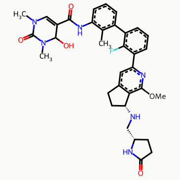 COc1nc(-c2cccc(-c3cccc(NC(=O)C4=CN(C)C(=O)N(C)C4O)c3C)c2F)cc2c1[C@H](NC[C@@H]1CCC(=O)N1)CC2